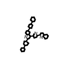 c1ccc(-c2ccc(-c3ccc4nc(-c5ccc(-c6ccccc6)cc5)cc(-c5ccc(-c6ccc7ccccc7n6)nc5)c4c3)cc2)cc1